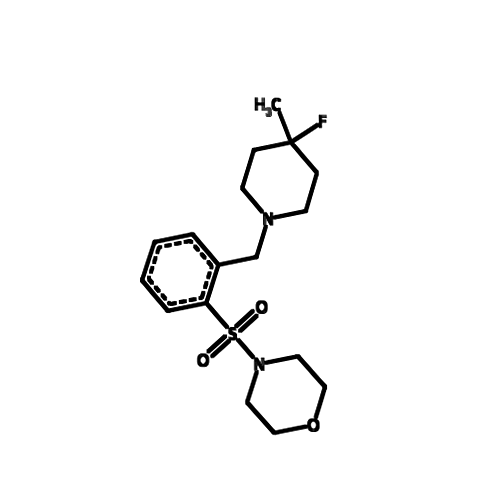 CC1(F)CCN(Cc2ccccc2S(=O)(=O)N2CCOCC2)CC1